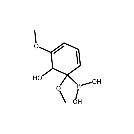 COC1=CC=CC(OC)(B(O)O)C1O